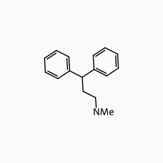 CNCCC(c1ccccc1)c1ccccc1